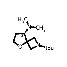 CN(C)[C@@H]1CCOC12CN(C(C)(C)C)C2